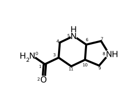 NC(=O)C1CNC2CNCC2C1